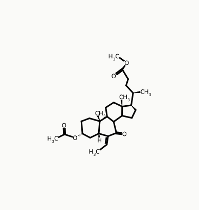 C/C=C1/C(=O)C2C3CC[C@H]([C@H](C)CCC(=O)OC)[C@@]3(C)CCC2[C@@]2(C)CC[C@@H](OC(C)=O)C[C@@H]12